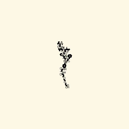 CC[C@H](C)[C@@H]([C@@H](CC(=O)N1CCC[C@H]1[C@H](OC)[C@@H](C)C(=O)N[C@@H](Cc1ccccc1)C(=O)NOCc1ccc(NC(=O)[C@@H](C)NC(=O)CCOCCOCCC(=O)O)cc1)OC)N(C)C(=O)[C@@H](NC(=O)[C@H](C(C)C)N(C)C)C(C)C